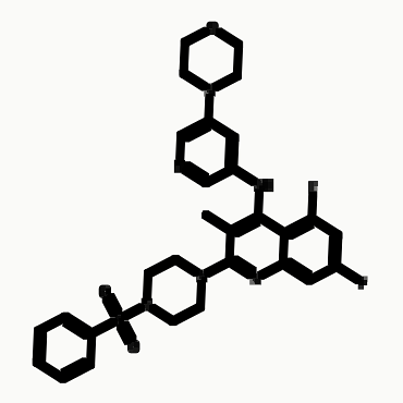 Cc1c(N2CCN(S(=O)(=O)c3ccccc3)CC2)nc2cc(F)cc(F)c2c1Nc1cncc(N2CCOCC2)c1